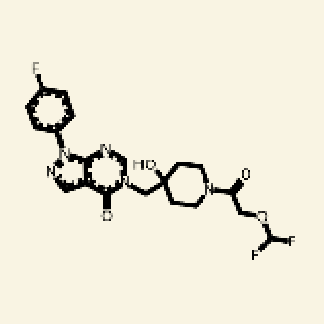 O=C(COC(F)F)N1CCC(O)(Cn2cnc3c(cnn3-c3ccc(F)cc3)c2=O)CC1